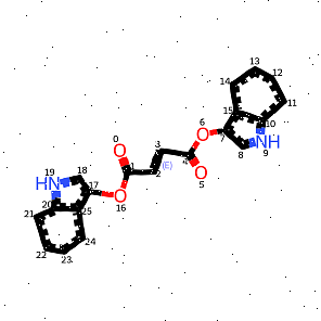 O=C(/C=C/C(=O)Oc1c[nH]c2ccccc12)Oc1c[nH]c2ccccc12